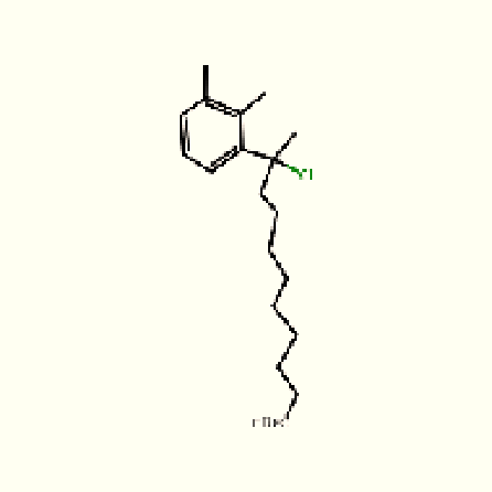 CCCCCCCCCCCCCCCCCCC(C)(Cl)c1cccc(C)c1C